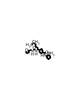 CN(C)CCCC(NC(=O)NCc1ccco1)c1ccc(C(=O)Nc2ccccc2N)cc1